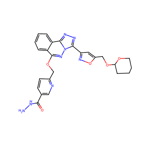 NNC(=O)c1ccc(COc2nn3c(-c4cc(COC5CCCCO5)on4)nnc3c3ccccc23)nc1